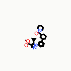 COC(=O)c1cnn(-c2cccc(C3CCCC(C(=O)N4CCCCC4)C3)c2)c1C1CC1